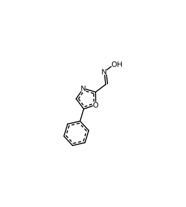 O/N=C/c1ncc(-c2ccccc2)o1